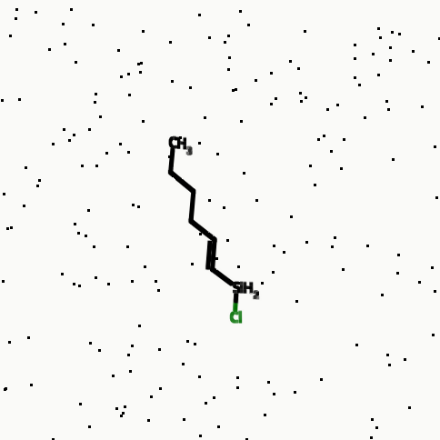 CCCC/C=C/[SiH2]Cl